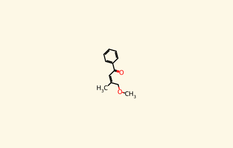 COCC(C)=CC(=O)c1ccccc1